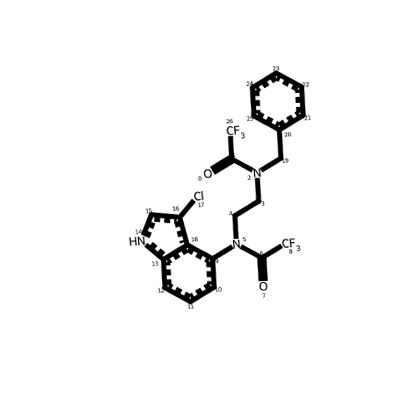 O=C(N(CCN(C(=O)C(F)(F)F)c1cccc2[nH]cc(Cl)c12)Cc1ccccc1)C(F)(F)F